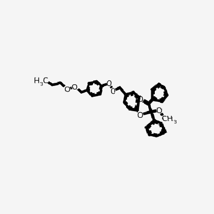 CCCOOCc1ccc(OOCc2ccc(OC(OC)(C(=O)c3ccccc3)c3ccccc3)cc2)cc1